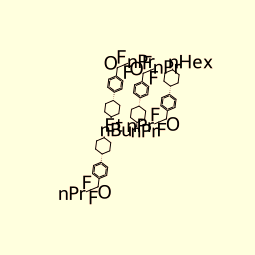 CCCC(F)(F)C(=O)c1ccc([C@H]2CC[C@H](CC)CC2)cc1.CCCC(F)(F)C(=O)c1ccc([C@H]2CC[C@H](CCC)CC2)cc1.CCCCCC[C@H]1CC[C@H](c2ccc(C(=O)C(F)(F)CCC)cc2)CC1.CCCC[C@H]1CC[C@H](c2ccc(C(=O)C(F)(F)CCC)cc2)CC1